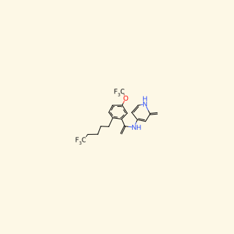 C=C1C=C(NC(=C)c2cc(OC(F)(F)F)ccc2CCCCC(F)(F)F)C=CN1